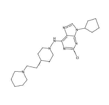 Clc1nc(NN2CCC(CCN3CCCCC3)CC2)c2ncn(C3CCCC3)c2n1